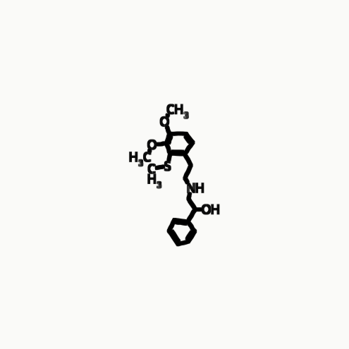 COc1ccc(CCNCC(O)c2ccccc2)c(SC)c1OC